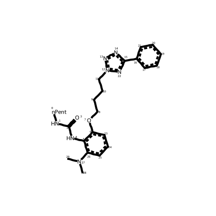 CCCCCNC(=O)Nc1c(OCCCCn2nnc(-c3ccccc3)n2)cccc1N(C)C